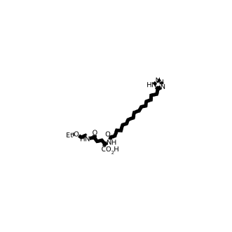 CCOCCNC(=O)CCC(NC(=O)CCCCCCCCCCCCCCCc1nnn[nH]1)C(=O)O